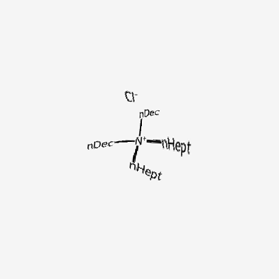 CCCCCCCCCC[N+](CCCCCCC)(CCCCCCC)CCCCCCCCCC.[Cl-]